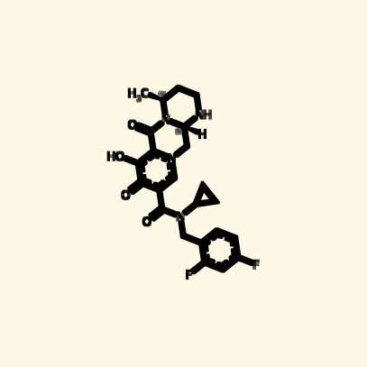 C[C@H]1CCN[C@@H]2Cn3cc(C(=O)N(Cc4ccc(F)cc4F)C4CC4)c(=O)c(O)c3C(=O)N12